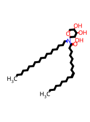 CCCCCCCC/C=C\CCCCCCCC(=O)N(CCCCCCCCCCCCCCCCCC)[C@@H]1OC[C@@H](O)[C@@H](O)[C@@H]1O